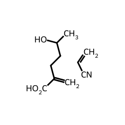 C=C(CCC(C)O)C(=O)O.C=CC#N